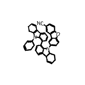 N#Cc1ccc2oc3ccc(N4c5c(-c6cccc7c8c(n(C9=CC=CCC9)c67)CCC=C8)cccc5C5C=CCCC54)cc3c2c1